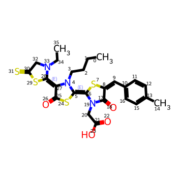 CCCCn1/c(=c2\sc(=Cc3ccc(C)cc3)c(=O)n2CC(=O)O)sc(=O)/c1=C1\SC(=S)CN1CC